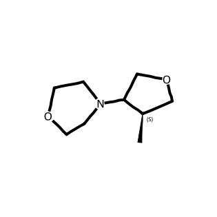 C[C@@H]1COCC1N1CCOCC1